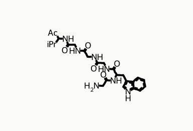 CC(=O)C(NC(=O)CNC(=O)CNC(=O)CNC(=O)C(Cc1c[nH]c2ccccc12)NC(=O)CN)C(C)C